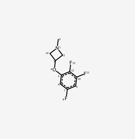 CN1CC(Oc2cc(F)cc(F)c2F)C1